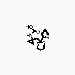 CN(C(=O)O)C1(CC2(c3cccs3)SCCCS2)CC1